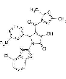 Cc1cc(C(=O)C2=C(O)C(=O)N(c3nc4c(Cl)cccc4s3)C2c2cccc([N+](=O)[O-])c2)c(C)o1